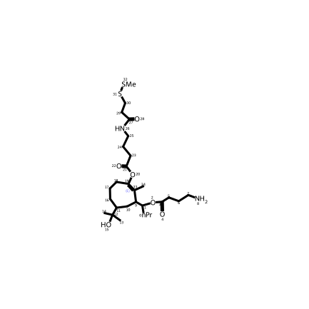 CCCC(OC(=O)CCCN)C1CC(C(C)(C)O)CCC/C(OC(=O)CCCNC(=O)CCSSC)=C\1C